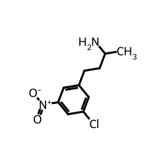 CC(N)CCc1cc(Cl)cc([N+](=O)[O-])c1